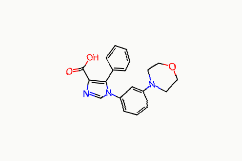 O=C(O)c1ncn(-c2cccc(N3CCOCC3)c2)c1-c1ccccc1